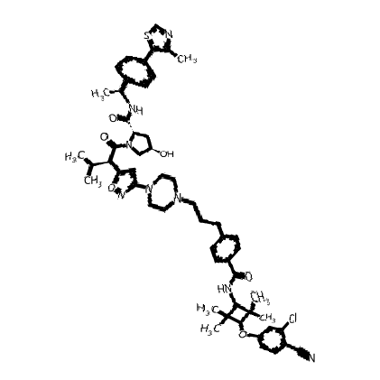 Cc1ncsc1-c1ccc([C@H](C)NC(=O)[C@@H]2C[C@@H](O)CN2C(=O)[C@@H](c2cc(N3CCN(CCCc4ccc(C(=O)NC5C(C)(C)C(Oc6ccc(C#N)c(Cl)c6)C5(C)C)cc4)CC3)no2)C(C)C)cc1